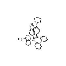 Cc1ccc([Si]2(c3ccc(C)cc3)N(c3ccccc3)c3ccccc3-c3ccccc3N2c2ccc(-c3ccccc3)cc2)cc1